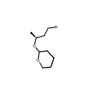 C[C@@H](CCBr)OC1CCCCO1